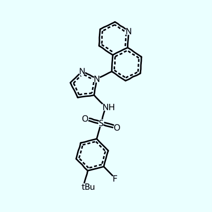 CC(C)(C)c1ccc(S(=O)(=O)Nc2ccnn2-c2cccc3ncccc23)cc1F